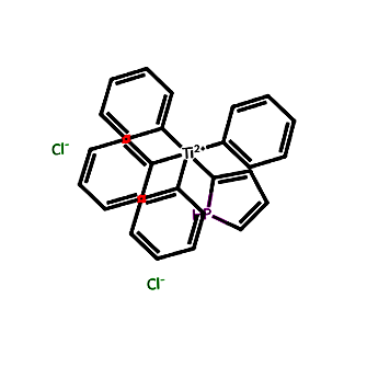 [Cl-].[Cl-].c1cc[c]([Ti+2]([c]2ccccc2)([c]2ccccc2)([c]2ccccc2)[c]2ccc[pH]2)cc1